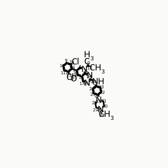 CC(C)n1cc(-c2c(Cl)cccc2Cl)c(=O)c2cnc(Nc3ccc(N4CCN(C)CC4)cc3)nc21